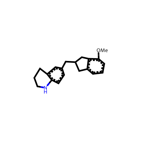 COc1cccc2c1CC(Cc1ccc3c(c1)CCCN3)C2